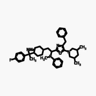 CNC(C)(c1ccc(F)cc1)C1CCC(CC(c2nc(Cc3ccccc3)c(N3CC(C)CC(C)C3)o2)N(C)c2ccccc2)CC1